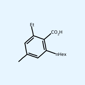 CCCCCCc1cc(C)cc(CC)c1C(=O)O